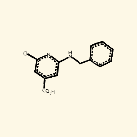 O=C(O)c1cc(Cl)nc(NCc2ccccc2)c1